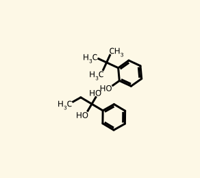 CC(C)(C)c1ccccc1O.CCC(O)(O)c1ccccc1